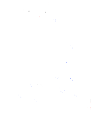 CC(C)(C)OC(=O)N1CCC(CN2CCN(c3nc(-c4cnc(N)nc4C(F)F)nc(N4CCOCC4)n3)CC2)CC1